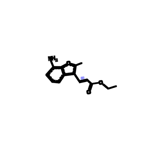 CCOC(=O)/C=C/c1c(C)oc2c(N)cccc12